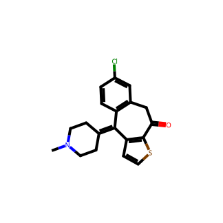 CN1CCC(=C2c3ccc(Cl)cc3CC(=O)c3sccc32)CC1